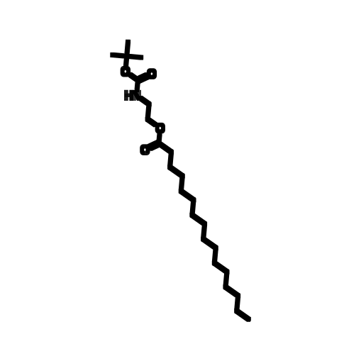 CCCCCCCCCCCCCCCC(=O)OCCNC(=O)OC(C)(C)C